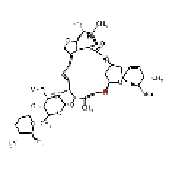 CC[C@H](C)[C@H]1OC2(C=C[C@@H]1C)C[C@@H]1C[C@@H](C/C=C(\C)[C@@H](O[C@H]3C[C@H](OC)[C@@H](O[C@H]4CC[C@@H](N)[C@H](C)O4)[C@H](C)O3)[C@@H](C)/C=C/C=C3\CO[C@H]4C3[C@@H](C=C(C)[C@H]4O)C(=O)O1)O2